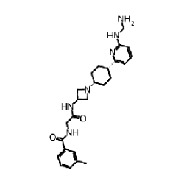 Cc1cccc(C(=O)NCC(=O)NC2CN([C@H]3CC[C@@H](c4cccc(NCN)n4)CC3)C2)c1